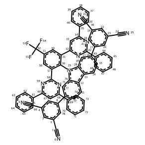 N#Cc1cc(C#N)cc(-c2ccc3c4ccc(-c5cc(C#N)cc(C#N)c5)cc4n(-c4c(-c5cc(-c6ccccc6)nc(-c6ccccc6)n5)cc(C(F)(F)F)cc4-c4nc(-c5ccccc5)cc(-c5ccccc5)n4)c3c2)c1